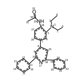 CCN(CC)c1cc(-c2cc(-c3ccccc3)nc(-c3ccccc3)c2)ccc1NC(C)=O